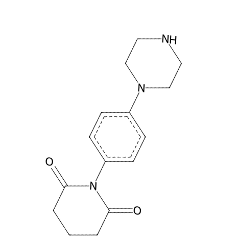 O=C1CCCC(=O)N1c1ccc(N2CCNCC2)cc1